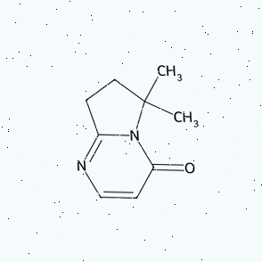 CC1(C)CCc2nccc(=O)n21